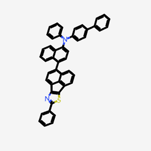 c1ccc(-c2ccc(N(c3ccccc3)c3ccc(-c4ccc5c6c(cccc46)-c4sc(-c6ccccc6)nc4-5)c4ccccc34)cc2)cc1